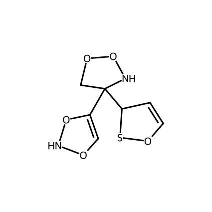 C1=CC(C2(C3=CONO3)COON2)SO1